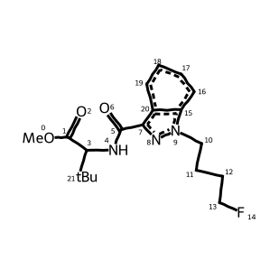 COC(=O)C(NC(=O)c1nn(CCCCF)c2ccccc12)C(C)(C)C